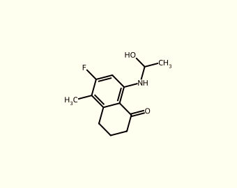 Cc1c(F)cc(NC(C)O)c2c1CCCC2=O